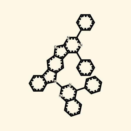 c1ccc(-c2nc(-c3ccccc3)c3c(n2)oc2cc4c5ccccc5n(-c5nc(-c6ccccc6)c6ccccc6n5)c4cc23)cc1